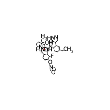 CCC1=CC(C2C=NNC2)[C@@H](NC[C@@H](C)C(O)C2(C)CCCN2N(O)CC2CC=C(OCN3CCOC3)C(F)C2F)CC1